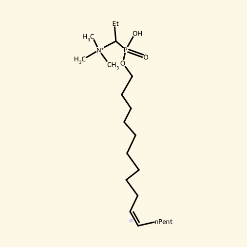 CCCCC/C=C\CCCCCCCCCOP(=O)(O)C(CC)[N+](C)(C)C